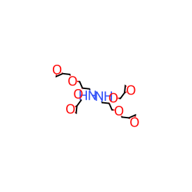 C(NNCC(COCC1CO1)OCC1CO1)C(COCC1CO1)OCC1CO1